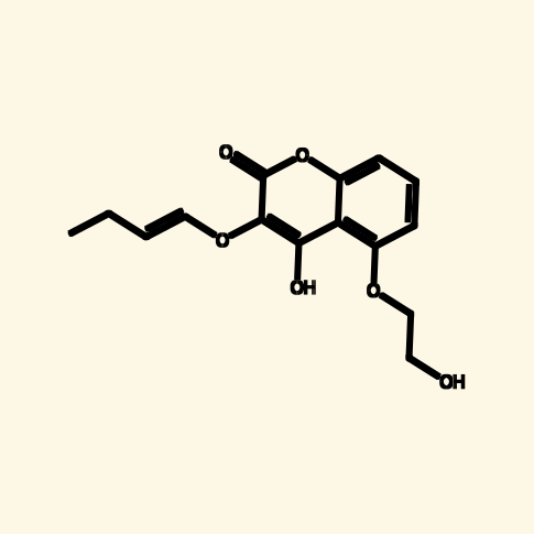 CC/C=C/Oc1c(O)c2c(OCCO)cccc2oc1=O